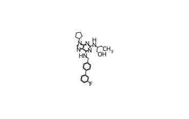 CCC(CO)Nc1nc(NCc2ccc(-c3cccc(F)c3)cc2)c2ncn(C3CCCC3)c2n1